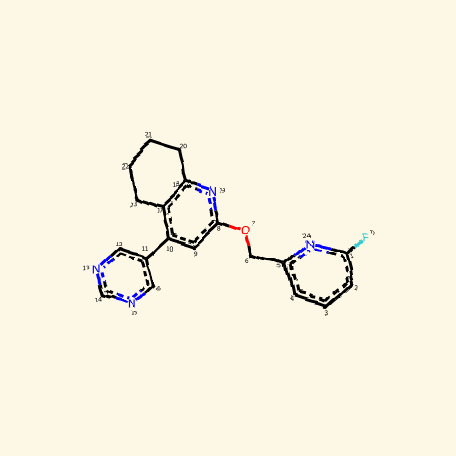 Fc1cccc(COc2cc(-c3cncnc3)c3c(n2)CCCC3)n1